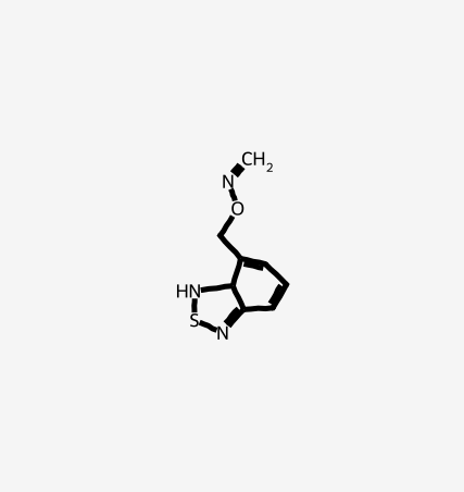 C=NOCC1=CC=CC2=NSNC12